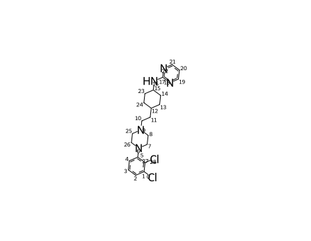 Clc1cccc(N2CCN(CCC3CCC(Nc4ncccn4)CC3)CC2)c1Cl